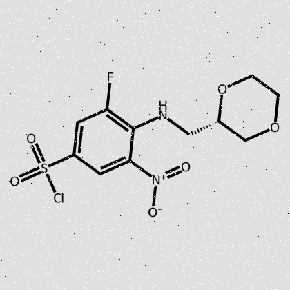 O=[N+]([O-])c1cc(S(=O)(=O)Cl)cc(F)c1NC[C@H]1COCCO1